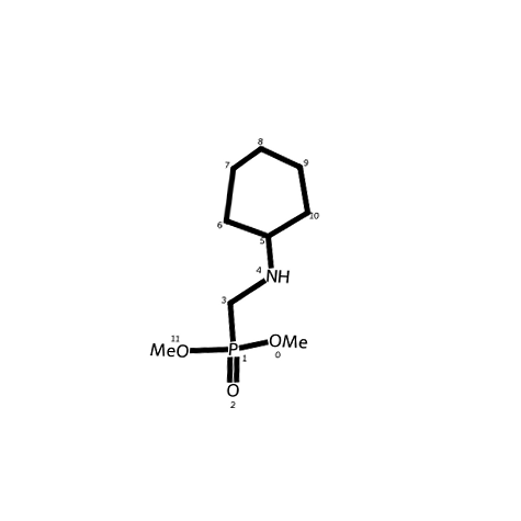 COP(=O)(CNC1CCCCC1)OC